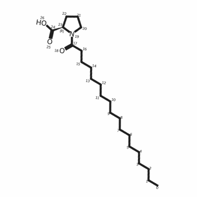 CCCCCCCCCCCCCCCCCC(=O)N1CCC[C@@H]1C(=O)O